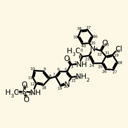 C[C@H](NC(=O)c1cc(-c2cccc(NS(C)(=O)=O)c2)cnc1N)c1cc2cccc(Cl)c2c(=O)n1-c1ccccc1